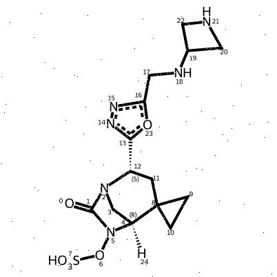 O=C1N2C[C@H](N1OS(=O)(=O)O)C1(CC1)C[C@H]2c1nnc(CNC2CNC2)o1